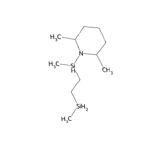 C[SiH2]CC[SiH](C)N1C(C)CCCC1C